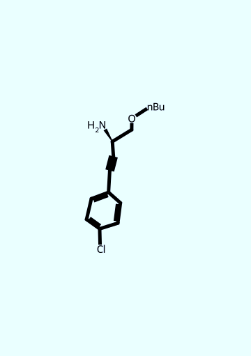 CCCCOC[C@H](N)C#Cc1ccc(Cl)cc1